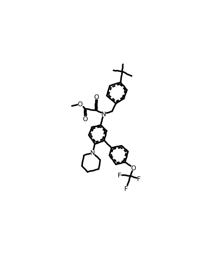 COC(=O)C(=O)N(Cc1ccc(C(C)(C)C)cc1)c1ccc(N2CCCCC2)c(-c2ccc(OC(F)(F)F)cc2)c1